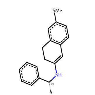 CSc1ccc2c(c1)CCC(N[C@H](C)c1ccccc1)=C2